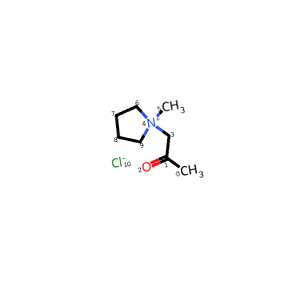 CC(=O)C[N+]1(C)CCCC1.[Cl-]